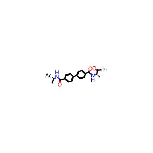 CC(=O)[C@@H](C)NC(=O)c1ccc(-c2ccc(C(=O)N[C@H](C)C(=O)C(C)C)cc2)cc1